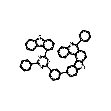 c1ccc(-c2nc(-c3cccc(-c4ccc5oc6ccc7c(-c8ccccc8)nc8ccccc8c7c6c5c4)c3)nc(-c3cccc4sc5ccccc5c34)n2)cc1